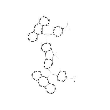 CN(C)c1ccc(N(c2ccc3c(c2)C(C)(C)c2cc(N(c4ccc(N(C)C)cc4)c4c5ccccc5cc5ccccc45)ccc2-3)c2c3ccccc3cc3ccccc23)cc1